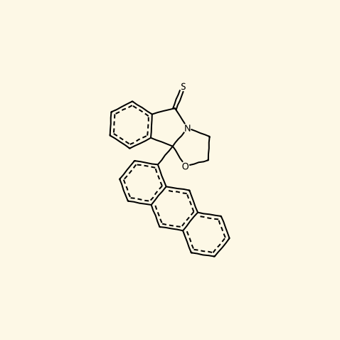 S=C1c2ccccc2C2(c3cccc4cc5ccccc5cc34)OCCN12